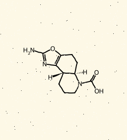 Nc1nc2c(o1)CC[C@@H]1[C@@H]2CCCN1C(=O)O